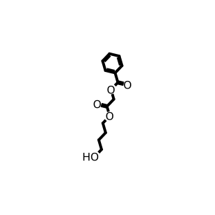 O=C(COC(=O)c1ccccc1)OCCCCO